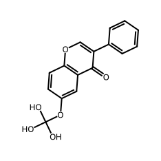 O=c1c(-c2ccccc2)coc2ccc(OC(O)(O)O)cc12